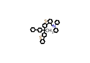 CC(c1ccc(C2C=CC=CC2)cc1)(c1ccc2c(c1)sc1ccccc12)c1ccc2sc3cccc(CN(c4ccccc4)c4ccccc4)c3c2c1